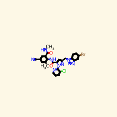 CNC(=O)c1cc(C#N)cc(C)c1NC(=O)c1cc(Cn2nnc3cc(Br)ccc32)nn1-c1ncccc1Cl